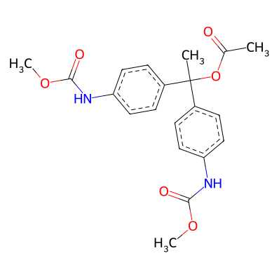 COC(=O)Nc1ccc(C(C)(OC(C)=O)c2ccc(NC(=O)OC)cc2)cc1